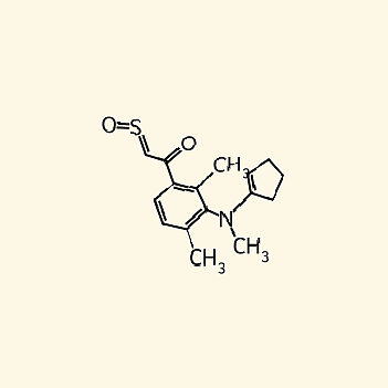 Cc1ccc(C(=O)C=S=O)c(C)c1N(C)C1=CCCC1